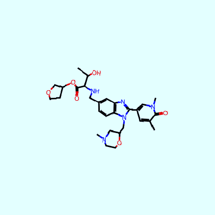 Cc1cc(-c2nc3cc(CNC(C(=O)OC4CCOC4)C(C)O)ccc3n2CC2CN(C)CCO2)cn(C)c1=O